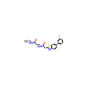 N#CCNC(=O)CCNC(=O)Cc1nc2ccc(-c3cccc(F)c3)cc2s1